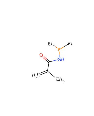 C=C(C)C(=O)NP(CC)CC